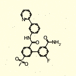 CS(=O)(=O)c1ccc(C(=O)Nc2cccc(-c3ccccn3)c2)c(-c2cc(F)cc(C(N)=O)c2)c1